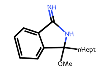 CCCCCCCC1(OC)NC(=N)c2ccccc21